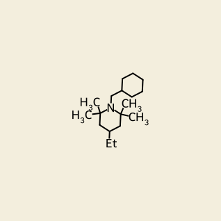 CCC1CC(C)(C)N(CC2CCCCC2)C(C)(C)C1